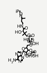 C/C(CCNC(=O)[C@@H](O)C(C)(C)COP(=O)(O)OP(=O)(O)OCC1OC(n2cnc3c(N)ncnc32)C(O)C1OP(=O)(O)O)=N\OC(C)C